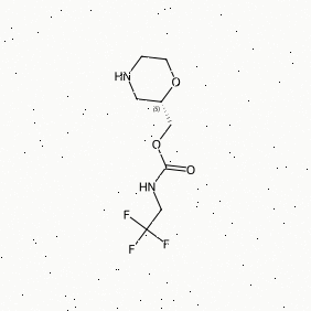 O=C(NCC(F)(F)F)OC[C@@H]1CNCCO1